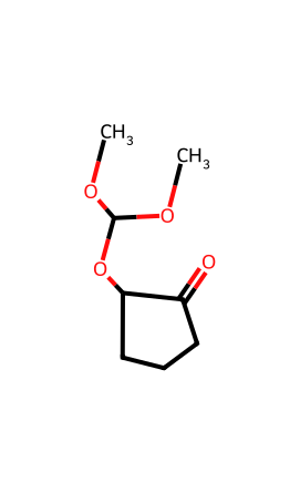 COC(OC)OC1CCCC1=O